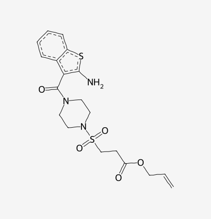 C=CCOC(=O)CCS(=O)(=O)N1CCN(C(=O)c2c(N)sc3ccccc23)CC1